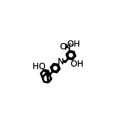 O=[N+](O)c1ccc(O)c(/C=N/c2ccc(C34CC5CC(CC(O)(C5)C3)C4)cc2)c1